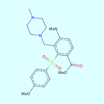 CNc1ccc(C(=O)OC)c(S(=O)(=O)c2ccc(OC)cc2)c1CN1CCN(C)CC1